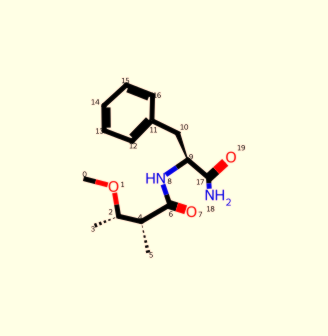 CO[C@@H](C)[C@@H](C)C(=O)N[C@@H](Cc1ccccc1)C(N)=O